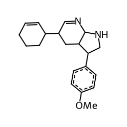 COc1ccc(C2CNC3N=CC(C4C=CCCC4)CC32)cc1